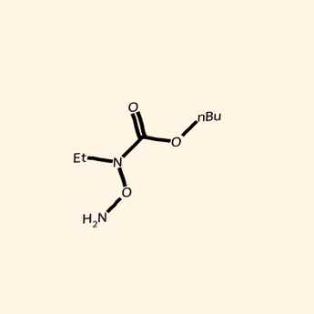 CCCCOC(=O)N(CC)ON